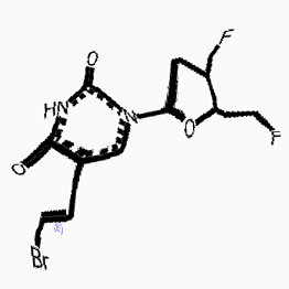 O=c1[nH]c(=O)n(C2CC(F)C(CF)O2)cc1/C=C/Br